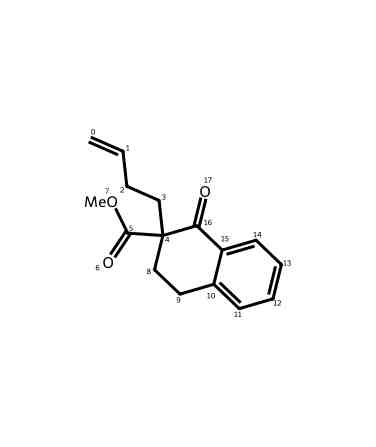 C=CCCC1(C(=O)OC)CCc2ccccc2C1=O